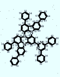 c1ccc(-c2ccc3c(c2)c2c(-c4ccccc4)ccc4c2n3-c2cc(-c3nc(-c5ccccc5)cc(-c5ccccc5)n3)cc3c2B4c2ccc(-c4ccccc4)c4c5cc(-c6ccccc6)ccc5n-3c24)cc1